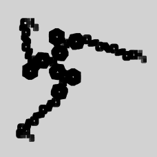 CCOCCOCCn1c2ccccc2c2cc(N(c3ccc4c(c3)c3ccccc3n4-c3ccc(OCCOCCOCCOC)cc3)c3ccc4c(c3)c3ccccc3n4-c3ccc(OCCOCCOCCOC)cc3)ccc21